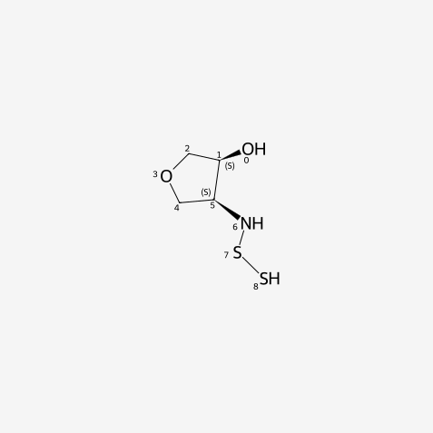 O[C@@H]1COC[C@@H]1NSS